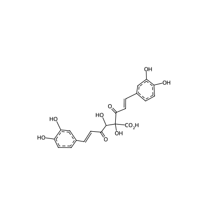 O=C(C=Cc1ccc(O)c(O)c1)C(O)C(O)(C(=O)O)C(=O)C=Cc1ccc(O)c(O)c1